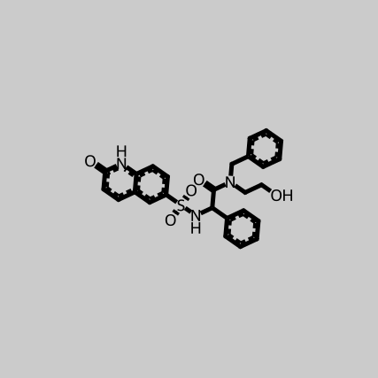 O=C(C(NS(=O)(=O)c1ccc2[nH]c(=O)ccc2c1)c1ccccc1)N(CCO)Cc1ccccc1